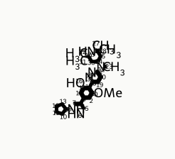 COc1cc(/C(C=N)=C/NC2CCCC2)cc(O)c1-c1ccc(N(C)C2CC(C)(C)NC(C)(C)C2)nn1